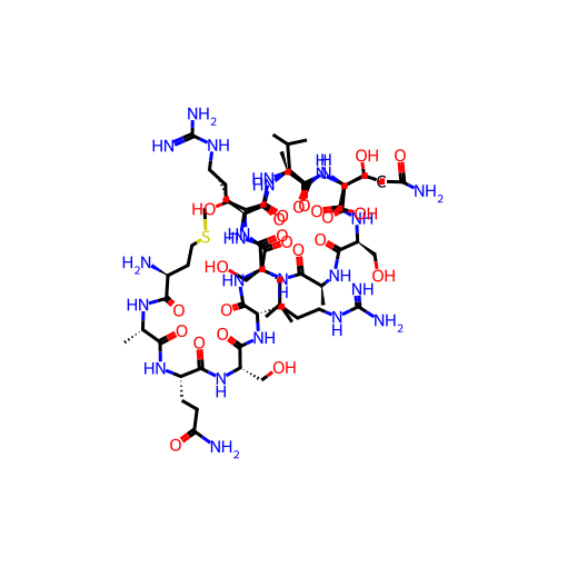 CSCC[C@H](N)C(=O)N[C@@H](C)C(=O)N[C@@H](CCC(N)=O)C(=O)N[C@@H](CO)C(=O)N[C@@H](CCCNC(=N)N)C(=O)N[C@@H](CC(C)C)C(=O)N[C@H](C(=O)N[C@@H](C)C(=O)N[C@H](C(=O)N[C@@H](CO)C(=O)N[C@@H](C)C(=O)N[C@@H](CO)C(=O)N[C@@H](CCCNC(=N)N)C(=O)N[C@H](C(=O)N[C@@H](CCC(N)=O)C(=O)O)C(C)C)[C@@H](C)O)[C@@H](C)O